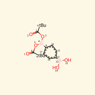 CC(C)(C)C(=O)OB(OC(=O)C(C)(C)C)c1ccc(B(O)O)cc1